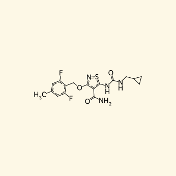 Cc1cc(F)c(COc2nsc(NC(=O)NCC3CC3)c2C(N)=O)c(F)c1